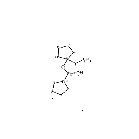 CCC1(O[C@H](O)N2CCCC2)CCCC1